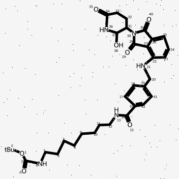 CC(C)(C)OC(=O)NCCCCCCCCNC(=O)c1ccc(CNc2cccc3c2C(=O)N(C2CCC(=O)NC2O)C3=O)cc1